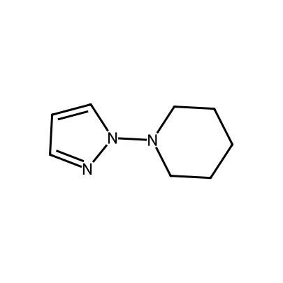 c1cnn(N2CCCCC2)c1